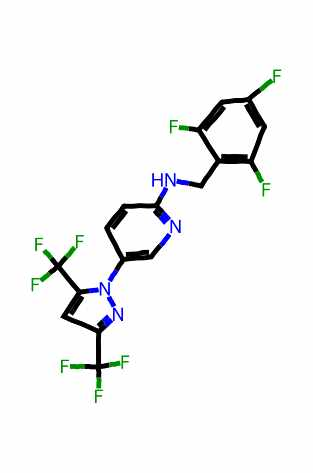 Fc1cc(F)c(CNc2ccc(-n3nc(C(F)(F)F)cc3C(F)(F)F)cn2)c(F)c1